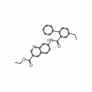 CCOC(=O)c1cnc2cc(NC(=O)c3cc(CC)ccc3-c3ccccc3)ccc2c1